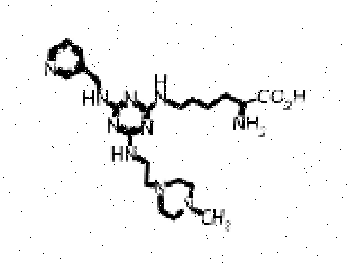 CN1CCN(CCNc2nc(NCCCC[C@H](N)C(=O)O)nc(NCc3cccnc3)n2)CC1